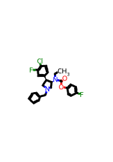 CCN(C(=O)Oc1ccc(F)cc1)[C@@H]1CN(Cc2ccccc2)C[C@H]1c1ccc(Cl)c(F)c1